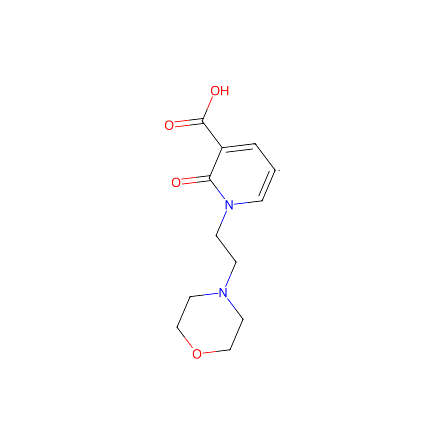 O=C(O)c1c[c]cn(CCN2CCOCC2)c1=O